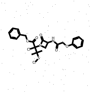 CC(C)(SCl)C(Cl)(C(=O)OCc1ccccc1)N1CC(NC(=O)COc2ccccc2)C1=O